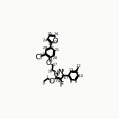 CCOc1c(F)c(-c2cccc(C)c2)nn1CCOc1ccc(-c2ccco2)cc1Cl